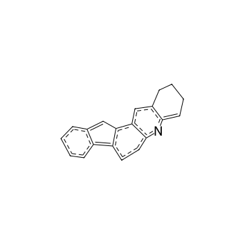 C1=c2nc3ccc4c(c3cc2CCC1)C=c1ccccc1=4